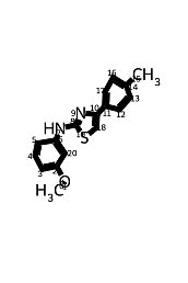 COc1cccc(Nc2nc(-c3ccc(C)cc3)cs2)c1